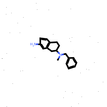 CN(Cc1ccccc1)C1CCc2ccc(N)cc2C1